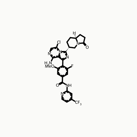 COc1cc(C(=O)Nc2cc(C(F)(F)F)ccn2)cc(F)c1-c1nc([C@@H]2CC[C@H]3CCC(=O)N3C2)n2c(Cl)cnc(N)c12